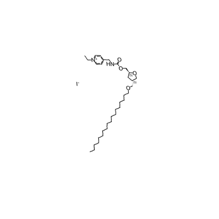 CCCCCCCCCCCCCCCCCCOC[C@H]1CO[C@H](COC(=O)NCc2cc[n+](CC)cc2)C1.[I-]